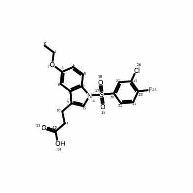 CCOc1ccc2c(c1)c(CCC(=O)O)cn2S(=O)(=O)c1ccc(F)c(Cl)c1